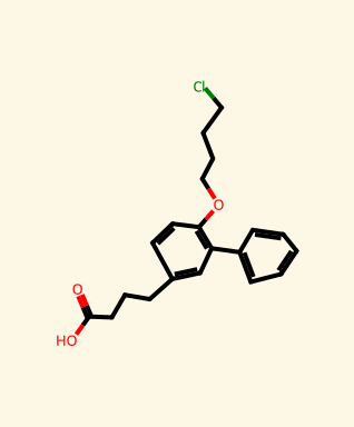 O=C(O)CCCc1ccc(OCCCCCl)c(-c2ccccc2)c1